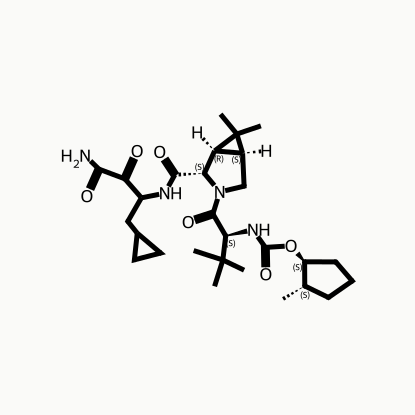 C[C@H]1CCC[C@@H]1OC(=O)N[C@H](C(=O)N1C[C@H]2[C@@H]([C@H]1C(=O)NC(CC1CC1)C(=O)C(N)=O)C2(C)C)C(C)(C)C